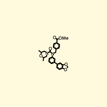 COC(=O)c1ccc(CN(C(=O)N2CC(C)OC(C)C2)c2cccc(-c3ccc4c(c3)OCO4)c2)cc1